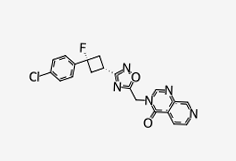 O=c1c2ccncc2ncn1Cc1nc([C@H]2C[C@](F)(c3ccc(Cl)cc3)C2)no1